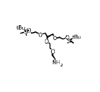 CC(C)(C)[Si](C)(C)OCCOCC(COCCO[Si](C)(C)C(C)(C)C)OCCOCCN